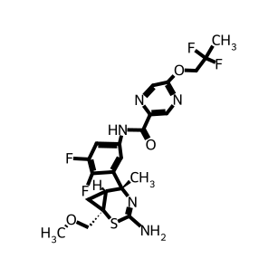 COC[C@]12C[C@H]1[C@](C)(c1cc(NC(=O)c3cnc(OCC(C)(F)F)cn3)cc(F)c1F)N=C(N)S2